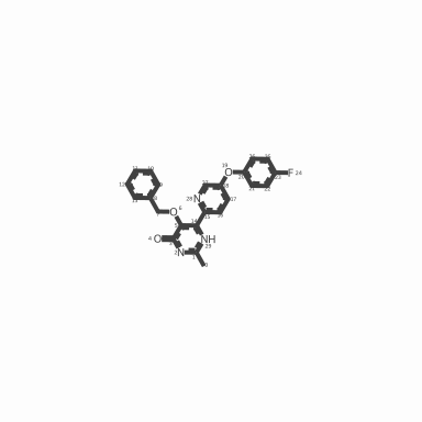 Cc1nc(=O)c(OCc2ccccc2)c(-c2ccc(Oc3ccc(F)cc3)cn2)[nH]1